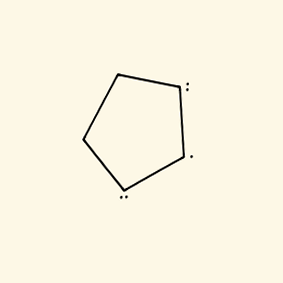 [C]1[CH][C]CC1